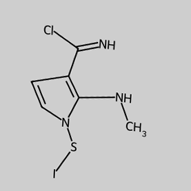 CNc1c(C(=N)Cl)ccn1SI